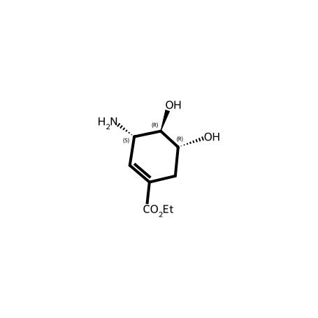 CCOC(=O)C1=C[C@H](N)[C@@H](O)[C@H](O)C1